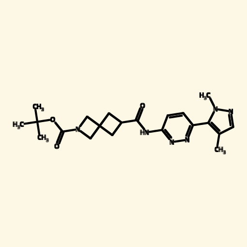 Cc1cnn(C)c1-c1ccc(NC(=O)C2CC3(C2)CN(C(=O)OC(C)(C)C)C3)nn1